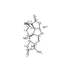 CC1=C2C=C3O[C@@H]4OC(=O)[C@H](O)[C@@]45[C@H](C(C)(C)C)C[C@H](O)[C@@]35C[C@@H]2OC1=O